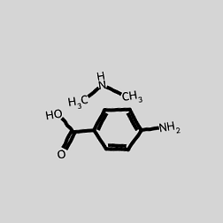 CNC.Nc1ccc(C(=O)O)cc1